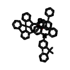 CC1(C)c2ccccc2-c2ccc(N(c3cccc(-c4cccc5c4C4(c6ccccc6-5)c5ccccc5-c5c4ccc4c5oc5c(-c6ccccc6)cccc54)c3)c3ccccc3-c3ccccc3)cc21